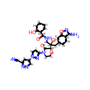 N#Cc1cc(-n2ccc(N3CCO[C@H](C(O)(CNC(=O)c4ccccc4O)Cc4ccc5c(N)noc5c4)C3=O)n2)cnn1